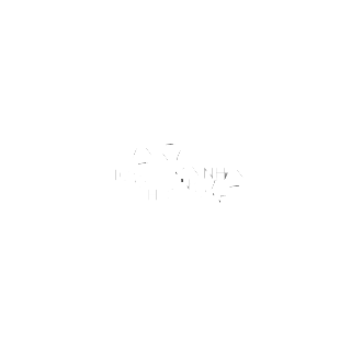 CCn1nc(-c2cccc(-c3cccc(C(=O)O)c3)c2)cc(Nc2cncc3ccccc23)c1=O